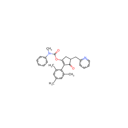 Cc1cc(C)c(C2=C(OC(=O)N(C)c3ccccc3)CC(Cc3ccccn3)C2=O)c(C)c1